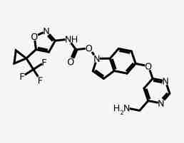 NCc1cc(Oc2ccc3c(ccn3OC(=O)Nc3cc(C4(C(F)(F)F)CC4)on3)c2)ncn1